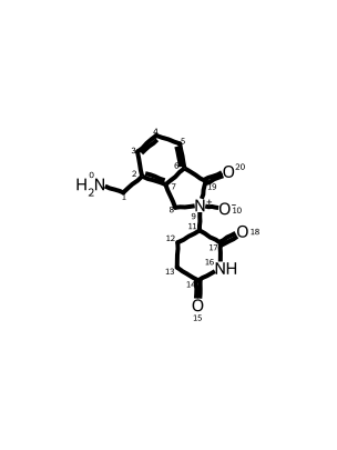 NCc1cccc2c1C[N+]([O-])(C1CCC(=O)NC1=O)C2=O